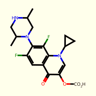 CC1CN(c2c(F)cc3c(=O)c(OC(=O)O)cn(C4CC4)c3c2F)C(C)CN1